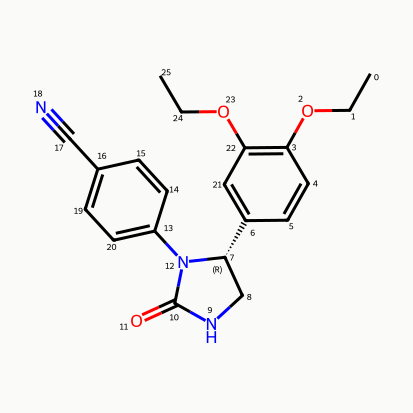 CCOc1ccc([C@@H]2CNC(=O)N2c2ccc(C#N)cc2)cc1OCC